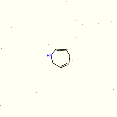 [C]1=CNCC=CC1